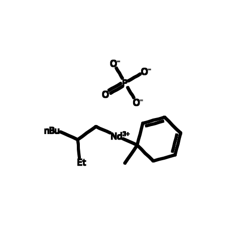 CCCCC(CC)[CH2][Nd+3][C]1(C)C=CC=CC1.O=P([O-])([O-])[O-]